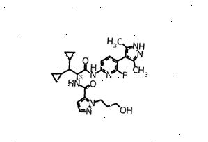 Cc1n[nH]c(C)c1-c1ccc(NC(=O)[C@@H](NC(=O)c2ccnn2CCCO)C(C2CC2)C2CC2)nc1F